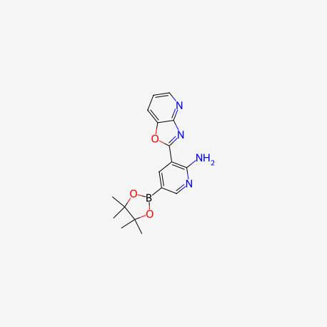 CC1(C)OB(c2cnc(N)c(-c3nc4ncccc4o3)c2)OC1(C)C